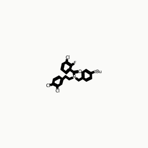 CC(C)(C)c1ccc(CN(CCc2ccc(Cl)c(Cl)c2)C(=O)c2cccc(Cl)c2F)cc1